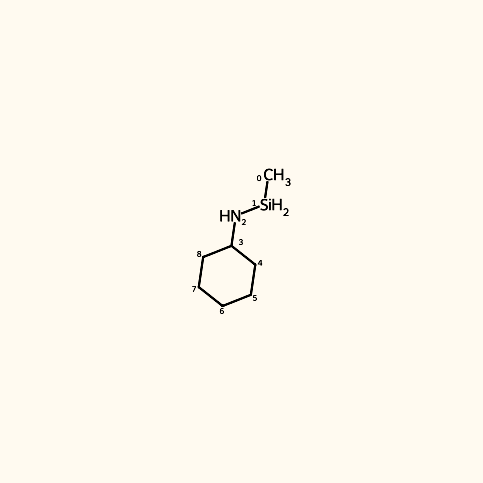 C[SiH2]NC1CCCCC1